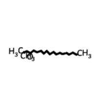 CCCCCCCCCCCCCCCC(=O)CC(C)C